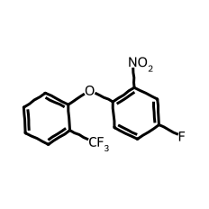 O=[N+]([O-])c1cc(F)ccc1Oc1ccccc1C(F)(F)F